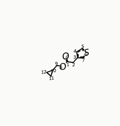 O=C(Cc1ccsc1)OCC1CC1